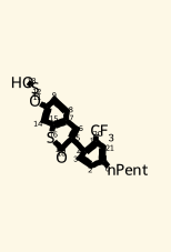 CCCCCc1ccc(-c2cc3ccc(OSO)cc3sc2=O)c(C(F)(F)F)c1